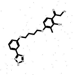 Cc1c(OCCCCOc2cccc(-c3nn[nH]n3)c2)ccc(C(=O)CC(C)C)c1O